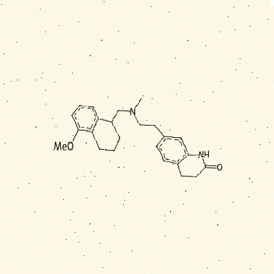 COc1cccc2c1CCCC2CN(C)CCc1ccc2c(c1)NC(=O)CC2